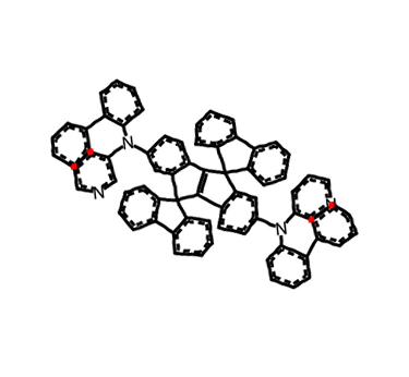 c1ccc(-c2ccccc2N(c2cccnc2)c2ccc3c(c2)C2(C4=C3C3(c5cc(N(c6cccnc6)c6ccccc6-c6ccccc6)ccc54)c4ccccc4-c4ccccc43)c3ccccc3-c3ccccc32)cc1